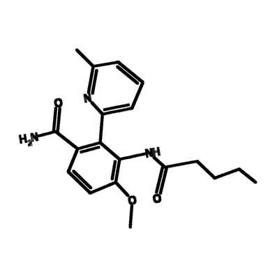 CCCCC(=O)Nc1c(OC)ccc(C(N)=O)c1-c1cccc(C)n1